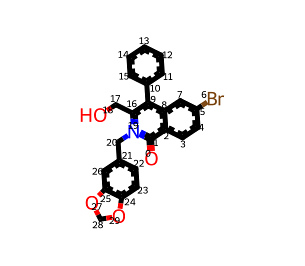 O=c1c2ccc(Br)cc2c(-c2ccccc2)c(CO)n1Cc1ccc2c(c1)OCO2